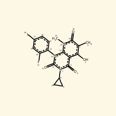 Cc1c(O)c2c(=O)n(C3CC3)c(=O)n(-c3ccc(I)cc3F)c2n(C)c1=O